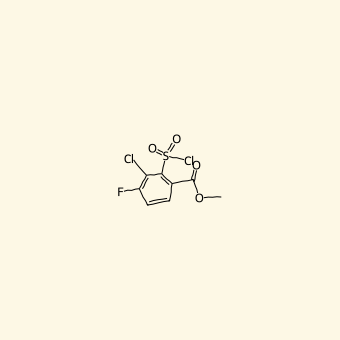 COC(=O)c1ccc(F)c(Cl)c1S(=O)(=O)Cl